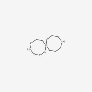 C1CNCC[CH2][Sn]2([CH2]1)[CH2]CONOO[O]2